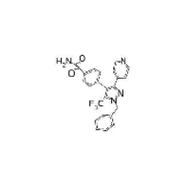 NS(=O)(=O)c1ccc(-c2c(-c3ccncc3)nn(Cc3ccccc3)c2C(F)(F)F)cc1